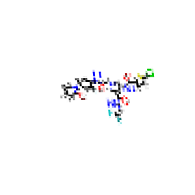 O=C(CN1C[C@H](NC(=O)c2ccc(Cl)s2)[C@@H](C(=O)NCC(F)F)C1)Nc1ccc(-n2ccccc2=O)cc1F